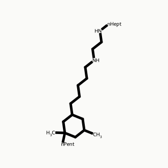 CCCCCCCNCCNCCCCCC1CC(C)CC(C)(CCCCC)C1